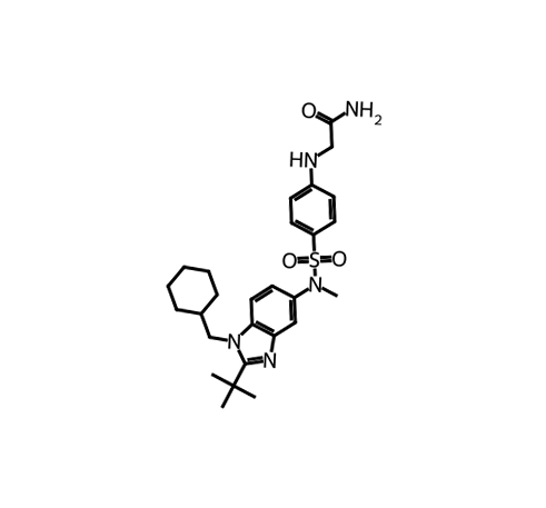 CN(c1ccc2c(c1)nc(C(C)(C)C)n2CC1CCCCC1)S(=O)(=O)c1ccc(NCC(N)=O)cc1